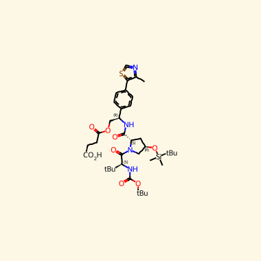 Cc1ncsc1-c1ccc([C@H](COC(=O)CCC(=O)O)NC(=O)[C@@H]2C[C@@H](O[Si](C)(C)C(C)(C)C)CN2C(=O)[C@@H](NC(=O)OC(C)(C)C)C(C)(C)C)cc1